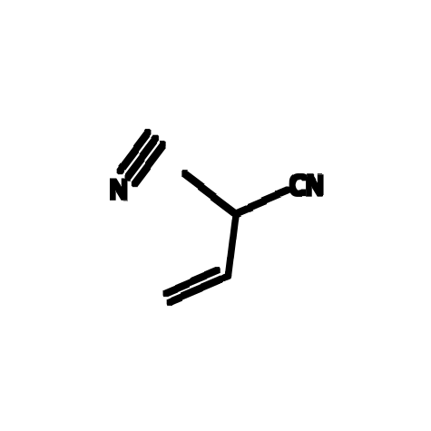 C#N.C=CC(C)C#N